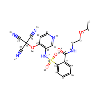 CCOCCNC(=O)c1ccccc1S(=O)(=O)Nc1cnccc1OC(C#N)(C#N)C#N